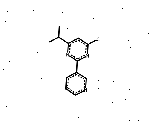 CC(C)c1cc(Cl)nc(-c2cccnc2)n1